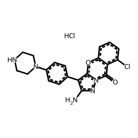 Cl.Nc1nn2c(=O)c3c(Cl)cccc3oc2c1-c1ccc(N2CCNCC2)cc1